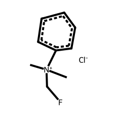 C[N+](C)(CF)c1ccccc1.[Cl-]